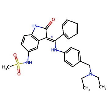 CCN(CC)Cc1ccc(N/C(=C2/C(=O)Nc3ccc(NS(C)(=O)=O)cc32)c2ccccc2)cc1